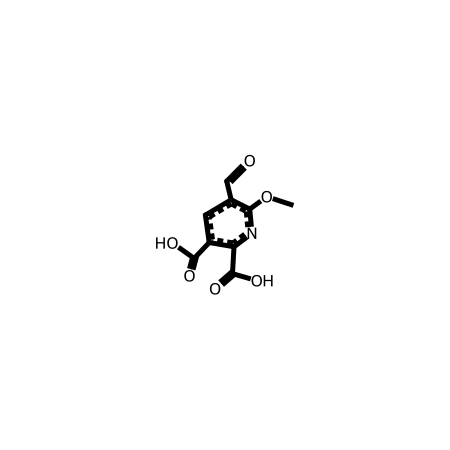 COc1nc(C(=O)O)c(C(=O)O)cc1C=O